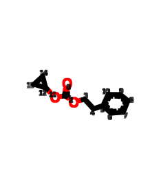 O=C(OCCc1ccccc1)OC1CC1